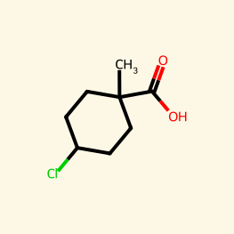 CC1(C(=O)O)CCC(Cl)CC1